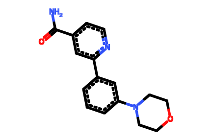 NC(=O)c1ccnc(-c2cccc(N3CCOCC3)c2)c1